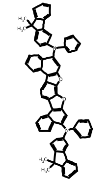 CC1(C)c2ccccc2-c2cc(N(c3ccccc3)c3cc4oc5c(ccc6c5oc5cc(N(c7ccccc7)c7ccc8c(c7)-c7ccccc7C8(C)C)c7ccccc7c56)c4c4ccccc34)ccc21